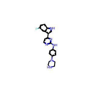 Fc1ccc2[nH]cc(-c3ccnc(Nc4ccc(N5CCNCC5)cc4)n3)c2c1